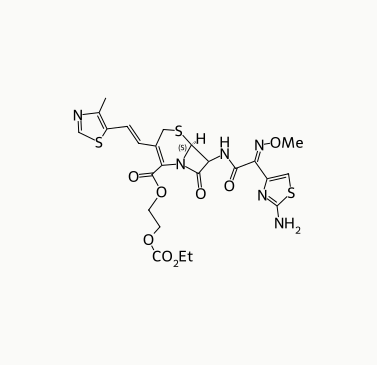 CCOC(=O)OCCOC(=O)C1=C(C=Cc2scnc2C)CS[C@H]2C(NC(=O)C(=NOC)c3csc(N)n3)C(=O)N12